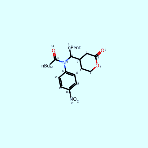 CCCCCC(C1CCOC(=O)C1)N(C(=O)CCCC)c1ccc([N+](=O)[O-])cc1